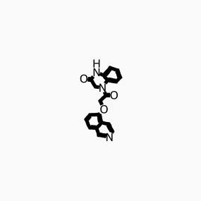 O=C1CN(C(=O)COc2cccc3cnccc23)c2ccccc2N1